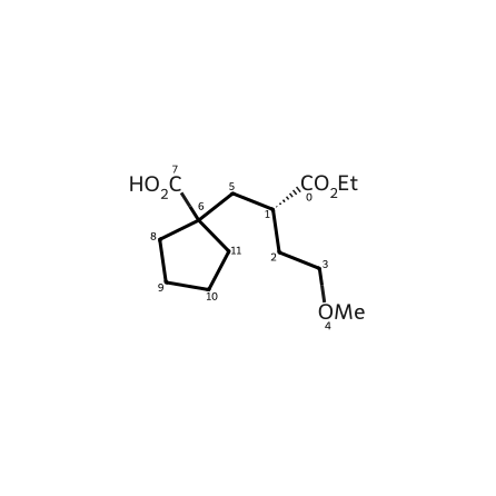 CCOC(=O)[C@H](CCOC)CC1(C(=O)O)CCCC1